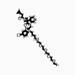 O=C(CC1CC1)N1CC2(C1)C(=O)N(Cc1nc3cc(Cl)ccc3n1CCCCOCCOCCOCCOCCOCI)c1cnccc12